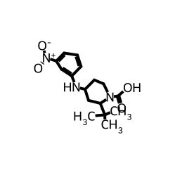 CC(C)(C)C1CC(Nc2cccc([N+](=O)[O-])c2)CCN1C(=O)O